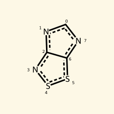 c1nc2nssc-2n1